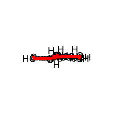 O=C(O)CCCCCCCCCCCCCCCCCCC(=O)NC[C@H]1CC[C@H](C(=O)N[C@@H](CCC(=O)NCCOCCOCCOCCOCCC(=O)NCCCC[C@H](NS)C(=O)O)C(=O)O)CC1